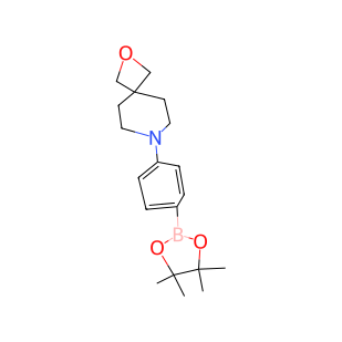 CC1(C)OB(c2ccc(N3CCC4(CC3)COC4)cc2)OC1(C)C